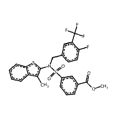 COC(=O)c1cccc(S(=O)(=O)N(Cc2ccc(F)c(C(F)(F)F)c2)c2sc3ccccc3c2C)c1